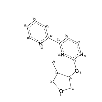 CC1COCC1Oc1nccc(-c2ccccn2)n1